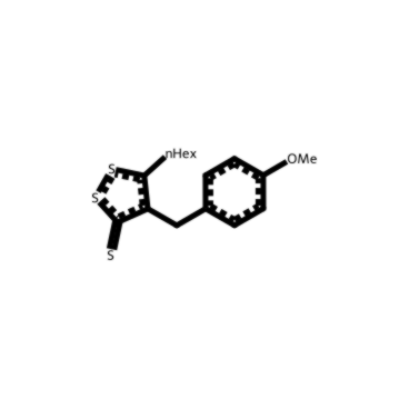 CCCCCCc1ssc(=S)c1Cc1ccc(OC)cc1